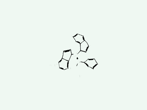 C[Si](c1ccccc1)=[Zr]([CH]1C=Cc2ccccc21)[CH]1C=Cc2ccccc21.Cl.Cl